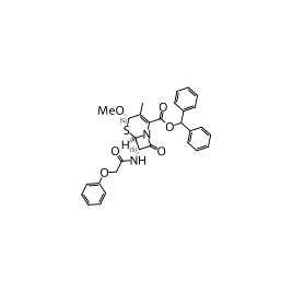 CO[C@H]1S[C@@H]2[C@@H](NC(=O)COc3ccccc3)C(=O)N2C(C(=O)OC(c2ccccc2)c2ccccc2)=C1C